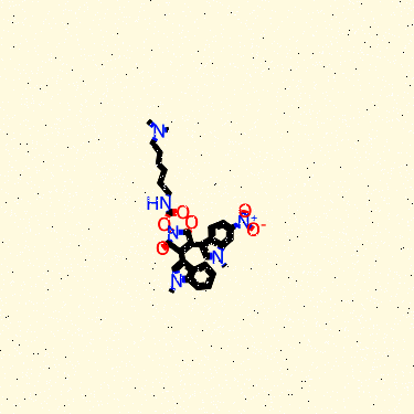 CN(C)CCCCCCNC(=O)ON1C(=O)C(c2cn(C)c3ccccc23)=C(c2cn(C)c3cc([N+](=O)[O-])ccc23)C1=O